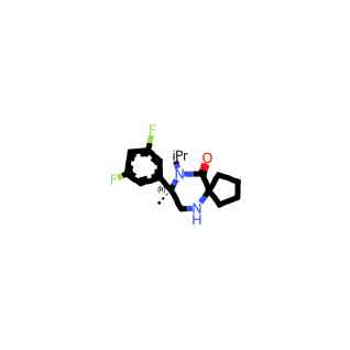 CC(C)N1C(=O)C2(CCCC2)NC[C@@]1(C)c1cc(F)cc(F)c1